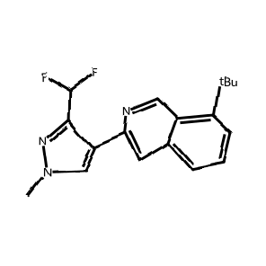 Cn1cc(-c2cc3cccc(C(C)(C)C)c3cn2)c(C(F)F)n1